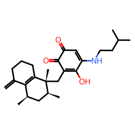 C=C1CCCC2=C1[C@H](C)C[C@H](C)[C@@]2(C)CC1=C(O)C(NCCC(C)C)=CC(=O)C1=O